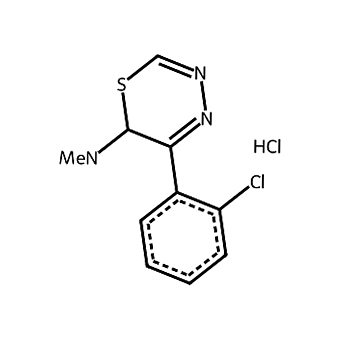 CNC1SC=NN=C1c1ccccc1Cl.Cl